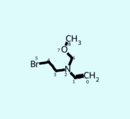 C=CN(CCBr)COC